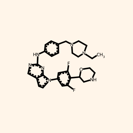 CCN1CCN(Cc2ccc(Nc3ncc4ccn(-c5cc(F)c(C6CNCCO6)c(F)c5)c4n3)cc2)CC1